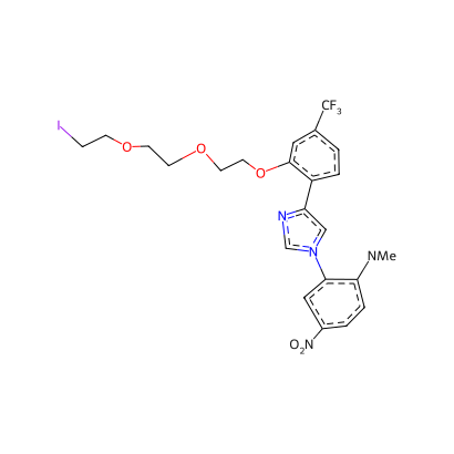 CNc1ccc([N+](=O)[O-])cc1-n1cnc(-c2ccc(C(F)(F)F)cc2OCCOCCOCCI)c1